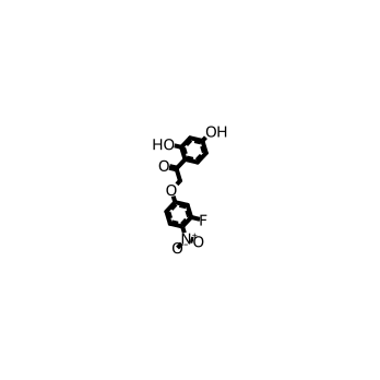 O=C(COc1ccc([N+](=O)[O-])c(F)c1)c1ccc(O)cc1O